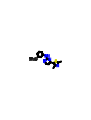 COc1cccc(Nc2nccc(-c3sc(C)nc3C)n2)c1